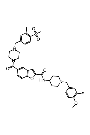 COc1ccc(CN2CCC(NC(=O)c3cc4cc(C(=O)N5CCN(Cc6ccc(S(C)(=O)=O)c(C)c6)CC5)ccc4o3)CC2)cc1F